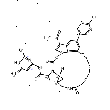 C=N/C=C(\N=C(/C)Br)NC(=O)[C@@H]1C[C@]23CNC(=O)CCCCCCc4cc(-c5cnc(C)nc5)cc5c(C(C)=O)nn(c45)CC(=O)N1[C@@H]2C3